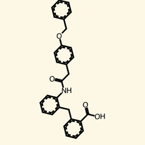 O=C(Cc1ccc(OCc2ccccc2)cc1)Nc1ccccc1Cc1ccccc1C(=O)O